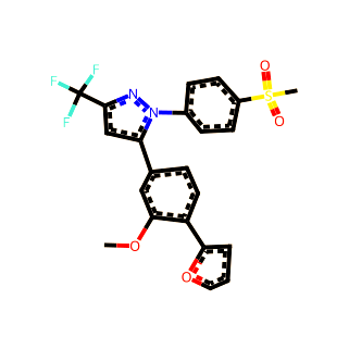 COc1cc(-c2cc(C(F)(F)F)nn2-c2ccc(S(C)(=O)=O)cc2)ccc1-c1ccco1